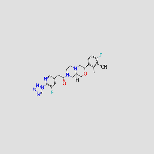 Cc1c([C@@H]2CN3CCN(C(=O)Cc4cnc(-n5cnnn5)c(F)c4)C[C@@H]3CO2)ccc(F)c1C#N